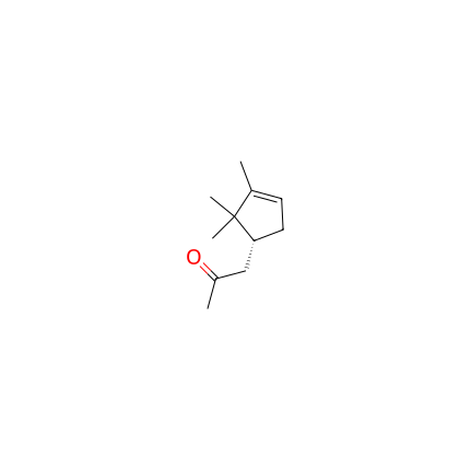 CC(=O)C[C@H]1CC=C(C)C1(C)C